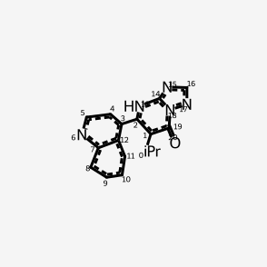 CC(C)c1c(-c2ccnc3ccccc23)[nH]c2ncnn2c1=O